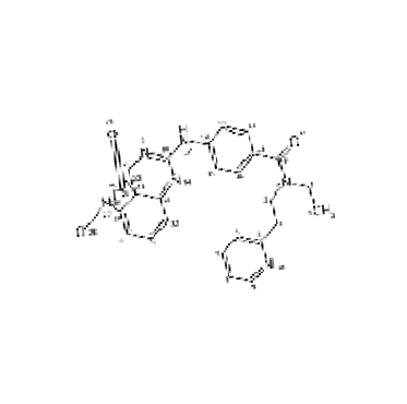 CCN(CCc1ccccn1)C(=O)c1ccc(NC2=NCC34CC(=O)CCN(Cl)C3=CC=CC4=N2)cc1